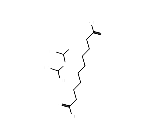 CC(C)OC(C)C.O=C(O)CCCCCCCCC(=O)O